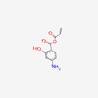 C=CC(=O)OC(=O)c1ccc(N)cc1O